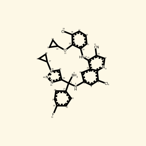 BC(Nc1cc(Cl)c2ncc(C#N)c(Nc3cccc(Cl)c3OC3CC3)c2c1)(c1ccc(F)cc1)c1cn(C2CC2)nn1